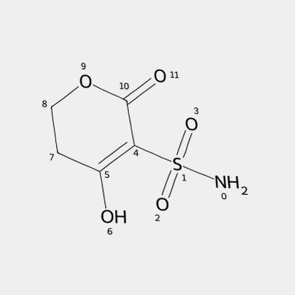 NS(=O)(=O)C1=C(O)CCOC1=O